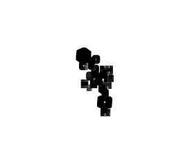 CCC(=N)/C(C(=O)OCC(=O)c1ccccc1Cl)=C(/N)NCCN1CCN(CC)CC1